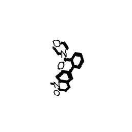 CN1C(=O)CCc2cc(C3C=CC=CC3C(=O)N3CCOCC3)ccc21